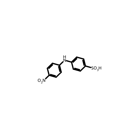 O=[N+]([O-])c1ccc(Nc2ccc(S(=O)(=O)O)cc2)cc1